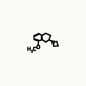 COc1cccc2c1CC(N1CCC1)CC2